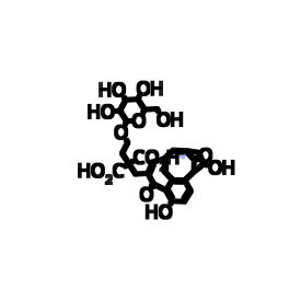 O=C1/C2=C\c3cc(CC(CCOC4OC(CO)C(O)C(O)C4O)(C(=O)O)C(=O)O)c(=O)c4c(O)ccc(c4c3)C1C(O)C2